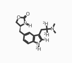 [2H]c1c(CC([2H])([2H])N(C)C)c2cc(C[C@H]3COC(=O)N3[2H])ccc2n1[2H]